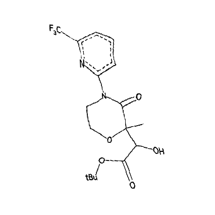 CC(C)(C)OC(=O)C(O)C1(C)OCCN(c2cccc(C(F)(F)F)n2)C1=O